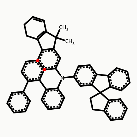 CC1(C)C2=C(CCC=C2)c2ccc(N(c3ccc4c(c3)C3(CCc5ccccc53)c3ccccc3-4)c3ccccc3-c3ccccc3-c3ccccc3)cc21